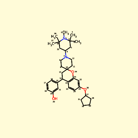 CN1C(C)(C)CC(N2CCC3(CC2)CC(c2cccc(O)c2)c2ccc(OC4CCCC4)cc2O3)CC1(C)C